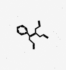 C=CCC(CC=C)=C(CC=C)c1ccccc1